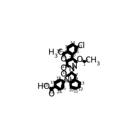 CCOc1nn(C(Cc2ccccc2)C(=O)Nc2ccc(C(=O)O)cc2)c(=O)cc1-c1cc(Cl)ccc1C(C)=O